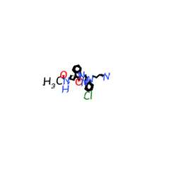 CC(=O)N[C@H]1C[C@@]2(C1)C(=O)N(Cc1nc3cc(Cl)ccc3n1CCCC#N)c1ccccc12